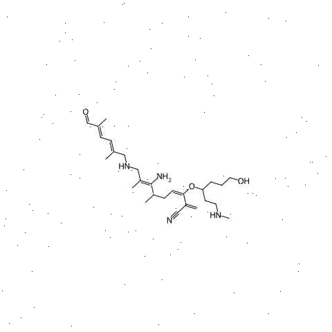 C=C(C#N)/C(=C\CC(C)/C(N)=C(\C)CNC/C(C)=C/C=C(\C)C=O)OC(CCCO)CCNC